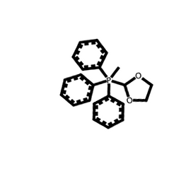 CP(c1ccccc1)(c1ccccc1)(c1ccccc1)C1OCCO1